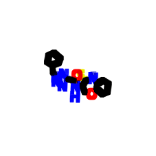 CN1C(=S)C(NC(=O)c2nnn(Cc3ccccc3)n2)COc2ccccc21